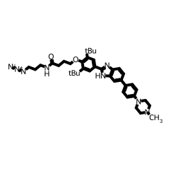 CN1CCN(c2ccc(-c3ccc4nc(-c5cc(C(C)(C)C)c(OCCCC(=O)NCCCN=[N+]=[N-])c(C(C)(C)C)c5)[nH]c4c3)cc2)CC1